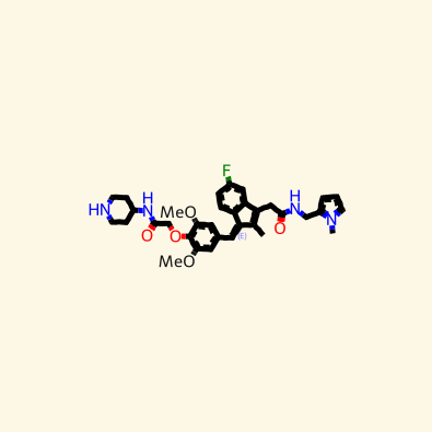 COc1cc(/C=C2/C(C)=C(CC(=O)NCc3cccn3C)c3cc(F)ccc32)cc(OC)c1OCC(=O)NC1CCNCC1